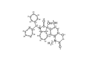 CN1C(=O)COc2cc(O)c(C3(O)C(=O)N(C(c4ccccc4)c4ccccc4)c4ccccc43)cc21